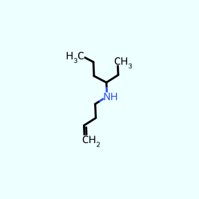 C=CCCNC(CC)CCC